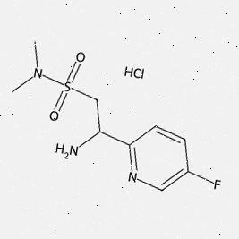 CN(C)S(=O)(=O)CC(N)c1ccc(F)cn1.Cl